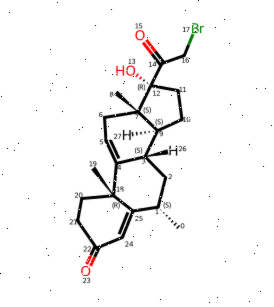 C[C@H]1C[C@@H]2C(=CC[C@@]3(C)[C@H]2CC[C@]3(O)C(=O)CBr)[C@@]2(C)CCC(=O)C=C12